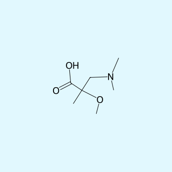 COC(C)(CN(C)C)C(=O)O